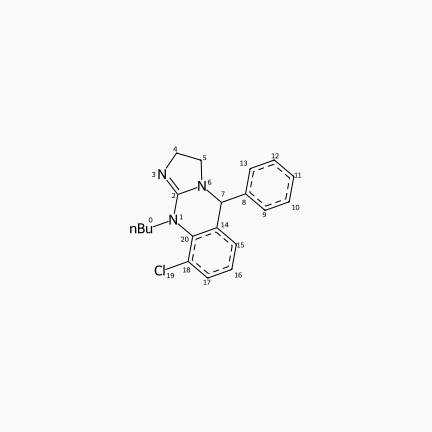 CCCCN1C2=NCCN2C(c2ccccc2)c2cccc(Cl)c21